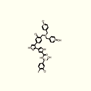 O=C(N[C@H](CO)c1ccc(F)c(Cl)c1)c1cc(-c2n[nH]cc2-c2ccc(CN(Cc3cc[n+]([O-])cc3)Cc3cc[n+](O)cc3)c(Cl)c2)c[nH]1